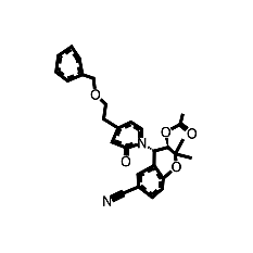 CC(=O)O[C@@H]1[C@@H](n2ccc(CCOCc3ccccc3)cc2=O)c2cc(C#N)ccc2OC1(C)C